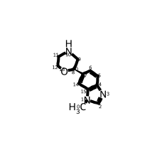 Cn1cnc2ccc([C@@H]3CNCCO3)cc21